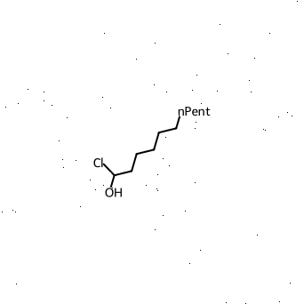 CCCCCCCCCCC(O)Cl